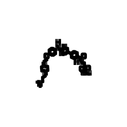 CN(C)CCCN1CCN(CCOc2ccc(Nc3ncc(-c4ccc(C(=O)NCC(=O)OC(C)(C)C)cc4)cn3)cc2)CC1